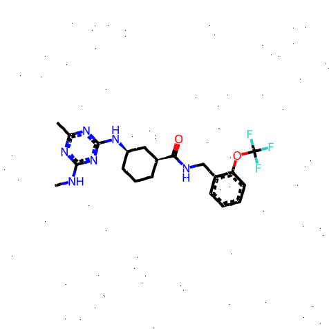 CNc1nc(C)nc(N[C@@H]2CCC[C@H](C(=O)NCc3ccccc3OC(F)(F)F)C2)n1